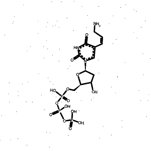 NC/C=C\c1cn([C@H]2CC(O)[C@@H](COP(=O)(O)OP(=O)(O)OP(=O)(O)O)O2)c(=O)[nH]c1=O